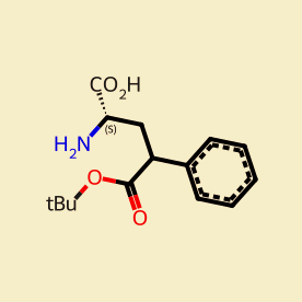 CC(C)(C)OC(=O)C(C[C@H](N)C(=O)O)c1ccccc1